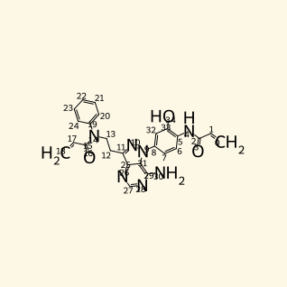 C=CC(=O)Nc1ccc(-n2nc(CCN(C(=O)C=C)c3ccccc3)c3ncnc(N)c32)cc1O